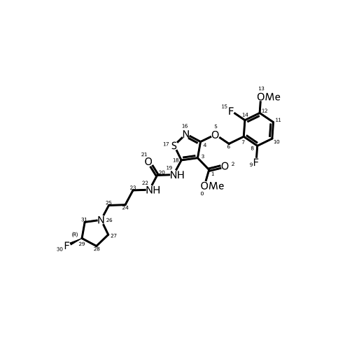 COC(=O)c1c(OCc2c(F)ccc(OC)c2F)nsc1NC(=O)NCCCN1CC[C@@H](F)C1